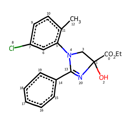 CCOC(=O)C1(O)CN(c2cc(Cl)ccc2C)C(c2ccccc2)=N1